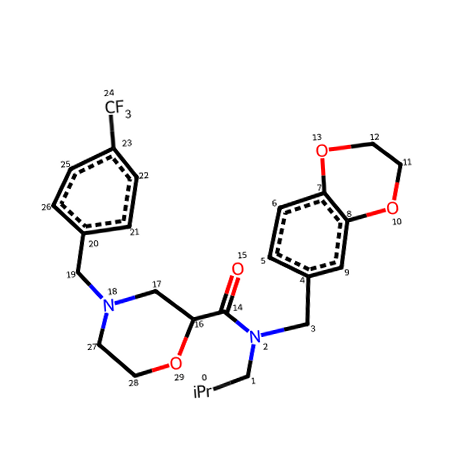 CC(C)CN(Cc1ccc2c(c1)OCCO2)C(=O)C1CN(Cc2ccc(C(F)(F)F)cc2)CCO1